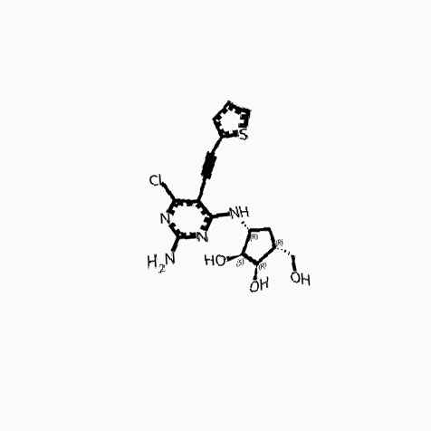 Nc1nc(Cl)c(C#Cc2cccs2)c(N[C@@H]2C[C@H](CO)[C@@H](O)[C@H]2O)n1